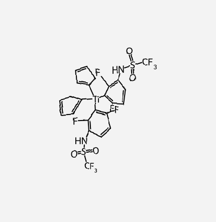 O=S(=O)(Nc1ccc(F)[c]([Ti]([C]2=CC=CC2)([C]2=CC=CC2)[c]2c(F)ccc(NS(=O)(=O)C(F)(F)F)c2F)c1F)C(F)(F)F